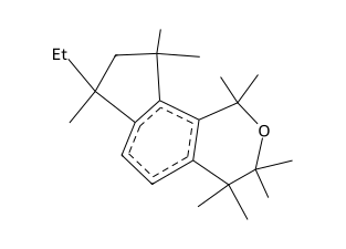 CCC1(C)CC(C)(C)c2c1ccc1c2C(C)(C)OC(C)(C)C1(C)C